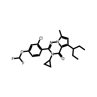 CCC(CC)c1cc(C)n2nc(-c3ccc(OC(F)F)cc3Cl)n(C3CC3)c(=O)c12